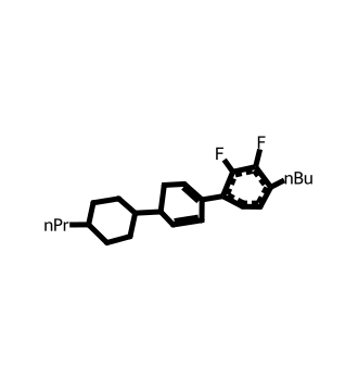 CCCCc1ccc(C2=CCC(C3CCC(CCC)CC3)C=C2)c(F)c1F